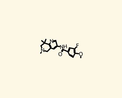 COc1ccc(C(=O)Nc2cnc3c(c2)CN(C)CC3(C)C)cc1F